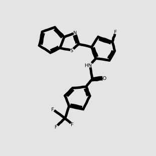 O=C(Nc1ccc(F)cc1-c1nc2ccccc2s1)c1ccc(C(F)(F)F)cc1